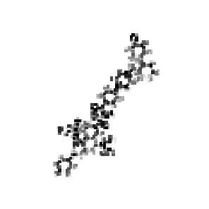 CC(C)N(CC[C@H](CSc1ccccc1)Nc1ccc(S(=O)(=O)NC(=O)c2ccc(N3CCN(CC4=C(c5ccc(Cl)cc5)CCCC4)CC3)cc2)cc1S(=O)(=O)C(F)(F)F)C(C)C